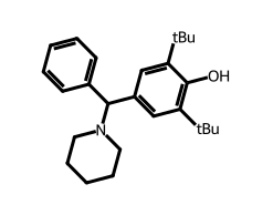 CC(C)(C)c1cc(C(c2ccccc2)N2CCCCC2)cc(C(C)(C)C)c1O